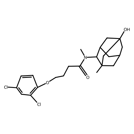 CN(C(=O)CCCOc1ccc(Cl)cc1Cl)C1C2CC3CC(O)(C2)CC1(C)C3